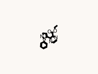 CCOC(=O)c1nccnc1-c1ccnn1-c1ccccc1